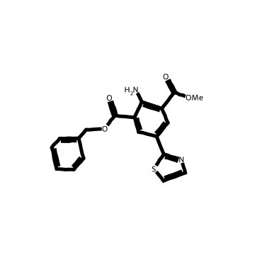 COC(=O)c1cc(-c2nccs2)cc(C(=O)OCc2ccccc2)c1N